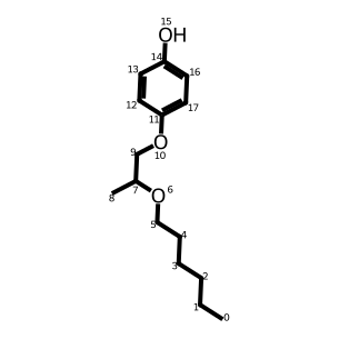 CCCCCCOC(C)COc1ccc(O)cc1